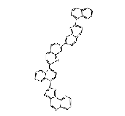 c1ccc2c(-c3ccc4ccc(-c5ccc6ccc(-c7ccc(-c8ccc9ccc%10cccnc%10c9n8)c8ccccc78)nc6c5)cc4n3)cncc2c1